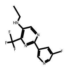 CCNc1cnc(-c2cncc(F)c2)nc1C(F)(F)F